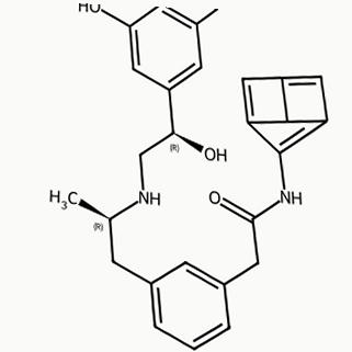 C[C@H](Cc1cccc(CC(=O)NC2=C3C=C4C=C2C43)c1)NC[C@H](O)c1cc(O)cc(O)c1